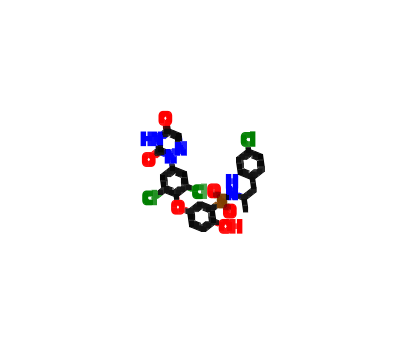 CC(Cc1ccc(Cl)cc1)NS(=O)(=O)c1cc(Oc2c(Cl)cc(-n3ncc(=O)[nH]c3=O)cc2Cl)ccc1O